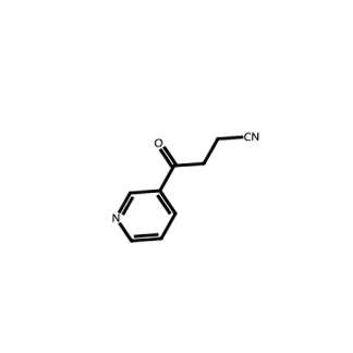 N#CCCC(=O)c1cccnc1